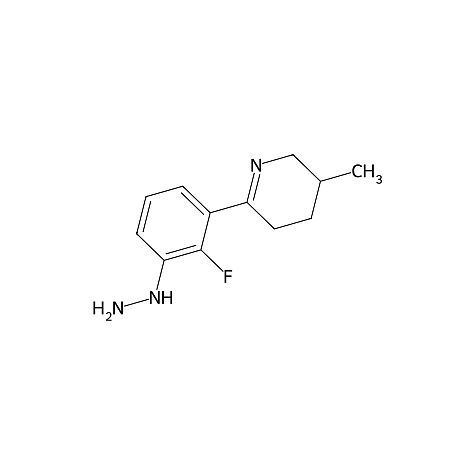 CC1CCC(c2cccc(NN)c2F)=NC1